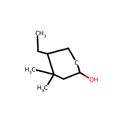 CCC1CCC(O)CC1(C)C